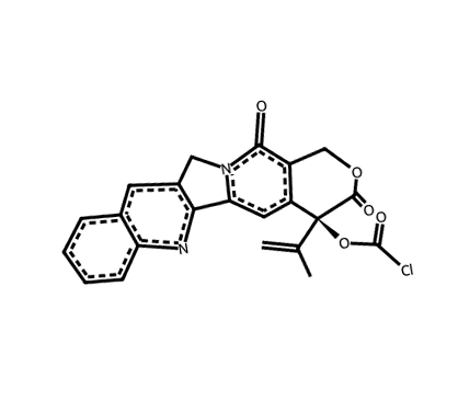 C=C(C)[C@@]1(OC(=O)Cl)C(=O)OCc2c1cc1n(c2=O)Cc2cc3ccccc3nc2-1